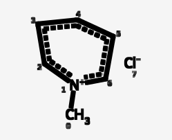 C[n+]1ccccc1.[Cl-]